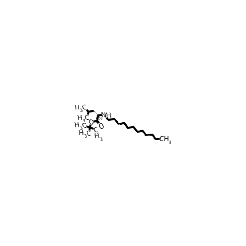 CCCCCCCCCCCCN[C@@H](CC(C)C)C(=O)OC(C)(C)C